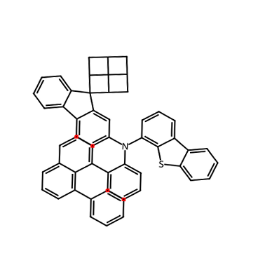 c1ccc(-c2cccc3cccc(-c4ccccc4N(c4ccc5c(c4)C4(c6ccccc6-5)C5CC6CC7CC4C675)c4cccc5c4sc4ccccc45)c23)cc1